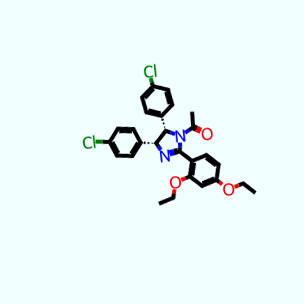 CCOc1ccc(C2=N[C@H](c3ccc(Cl)cc3)[C@H](c3ccc(Cl)cc3)N2C(C)=O)c(OCC)c1